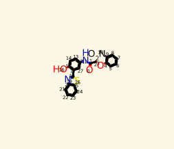 O=C(COc1ccccc1[N+](=O)[O-])Nc1ccc(O)c(-c2nc3ccccc3s2)c1